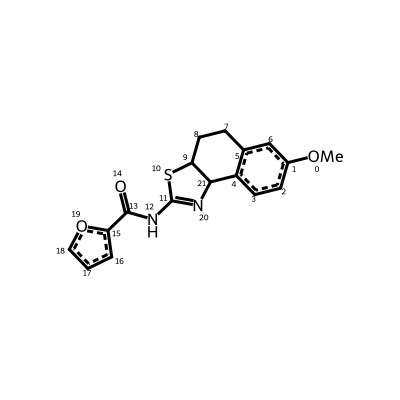 COc1ccc2c(c1)CCC1SC(NC(=O)c3ccco3)=NC21